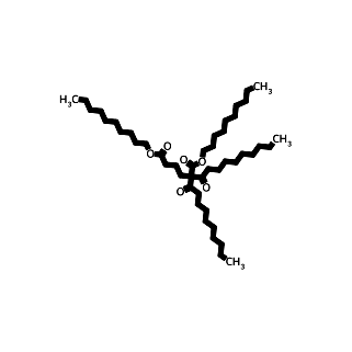 CCCCCCCCCCOC(=O)CCCC(C(=O)CCCCCCCCC)(C(=O)CCCCCCCCC)C(=O)OCCCCCCCCCC